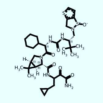 CC(C)(C)[C@@H](CN1Cc2sccc2[S+]1[O-])NC(=O)N[C@H](C(=O)N1C[C@H]2[C@@H]([C@H]1C(=O)NC(CC1CC1)C(=O)C(N)=O)C2(C)C)C1CCCCC1